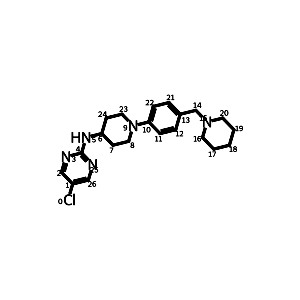 Clc1cnc(NC2CCN(c3ccc(CN4CCCCC4)cc3)CC2)nc1